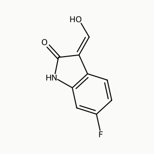 O=C1Nc2cc(F)ccc2/C1=C/O